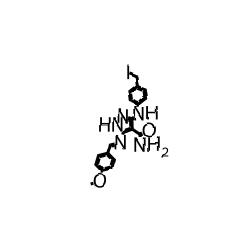 COc1ccc(/C=N/c2[nH]nc(Nc3ccc(CI)cc3)c2C(N)=O)cc1